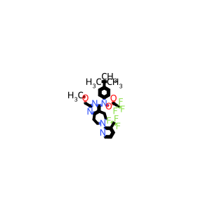 COCc1nc2c(c(N(OC(=O)C(F)(F)F)c3ccc(C(C)(C)C)cc3)n1)CCN(c1ncccc1C(F)(F)F)CC2